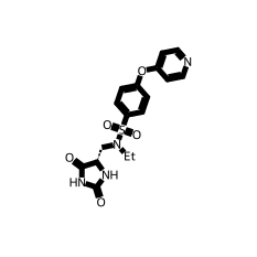 CCN(C[C@@H]1NC(=O)NC1=O)S(=O)(=O)c1ccc(Oc2ccncc2)cc1